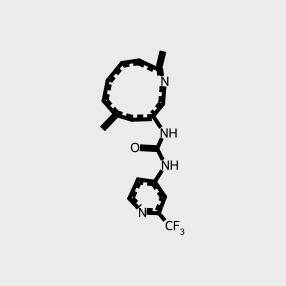 C=c1ccccc(=C)ncc(NC(=O)Nc2ccnc(C(F)(F)F)c2)c1